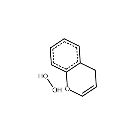 C1=COc2ccccc2C1.OO